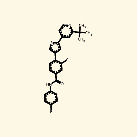 CC(C)(C)c1cc(-c2cc(-c3ccc(C(=O)Nc4ccc(F)cc4)cc3Cl)cs2)ccn1